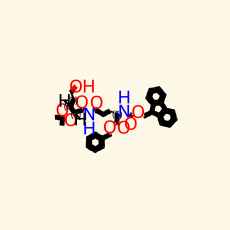 CC1(C)O[C@@H]2[C@@H](CO)OC(NC(=O)CC[C@H](NC(=O)OCC3c4ccccc4-c4ccccc43)C(=O)OCc3ccccc3)[C@@H]2O1